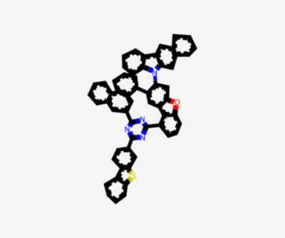 c1ccc(-c2cc3c(cc2-n2c4ccccc4c4cc5ccccc5cc42)oc2cccc(-c4nc(-c5ccc6ccccc6c5)nc(-c5ccc6c(c5)sc5ccccc56)n4)c23)cc1